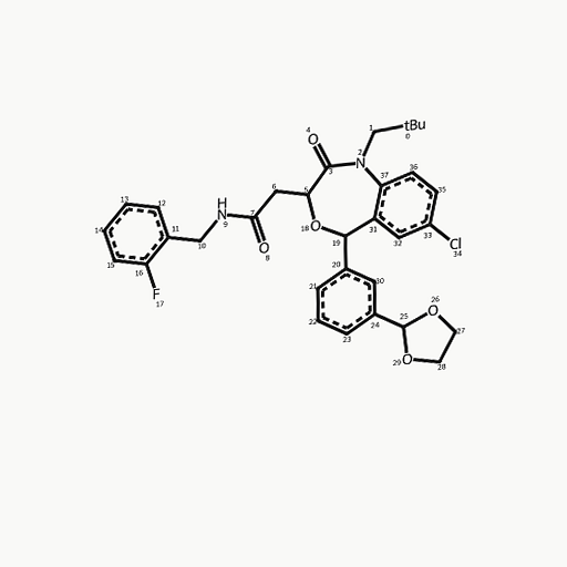 CC(C)(C)CN1C(=O)C(CC(=O)NCc2ccccc2F)OC(c2cccc(C3OCCO3)c2)c2cc(Cl)ccc21